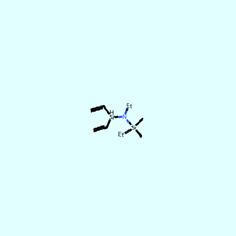 C=C[SiH](C=C)N(CC)[Si](C)(C)CC